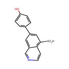 O=S(=O)(O)c1cc(-c2ccc(O)cc2)cc2cnccc12